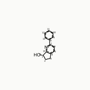 O[C@@H]1CCc2ccc(-c3ccccc3)nc21